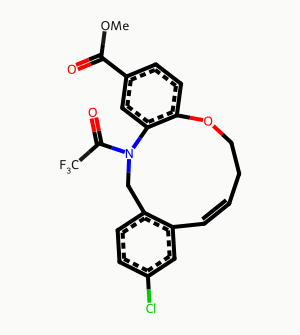 COC(=O)c1ccc2c(c1)N(C(=O)C(F)(F)F)Cc1ccc(Cl)cc1/C=C\CCO2